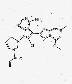 C=CC(=O)N1C=CCN(n2c(Cl)c(-c3cc4cc(C)cc(OC)c4s3)c3c(N)ncnc32)C1